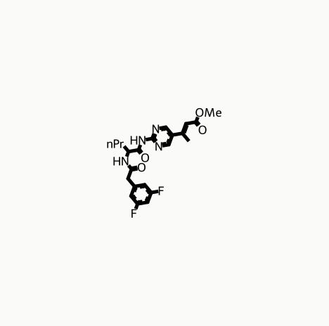 CCCC(NC(=O)Cc1cc(F)cc(F)c1)C(=O)Nc1ncc(C(C)=CC(=O)OC)cn1